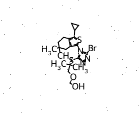 CC1(C)CCc2c(C3CC3)sc(-n3c(Br)nnc3SC(C)(C)COCO)c2C1